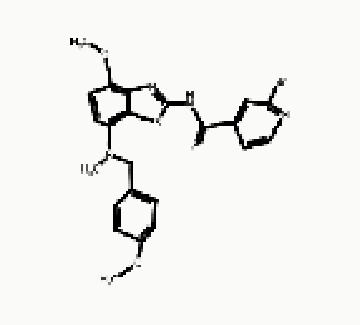 COc1ccc(CN(C)c2ccc(OC)c3nc(NC(=O)c4ccnc(Br)c4)sc23)cc1